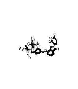 BC1(B)COC(B)(B)C(B)(B)N1Cc1ccc(COc2cccc3c2CN(C2CCC(=O)NC2=O)C3=O)cc1